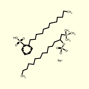 CCCCCCCCCCCCC(C[N+](C)(C)C)OP(=O)([O-])[O-].CCCCCCCCCCCCc1ccccc1S(=O)(=O)O.[Na+]